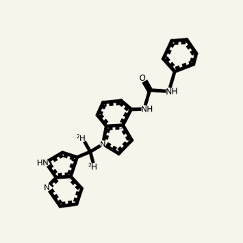 [2H]C([2H])(c1c[nH]c2ncccc12)n1ccc2c(NC(=O)Nc3ccccc3)cccc21